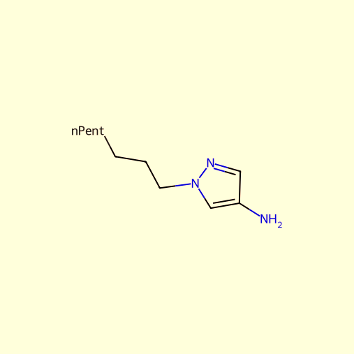 CCCCCCCCn1cc(N)cn1